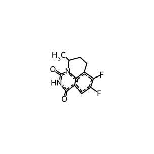 CC1CCc2c(F)c(F)cc3c(=O)[nH]c(=O)n1c23